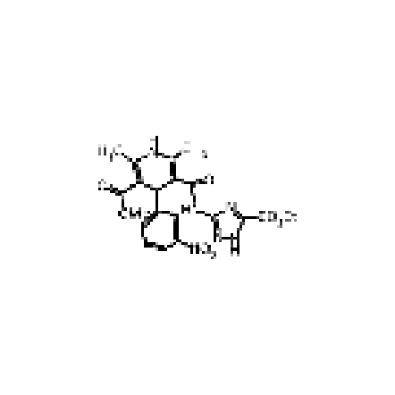 CCOC(=O)c1nc(NC(=O)C2=C(C)NC(C)=C(C(=O)OC)C2c2cccc([N+](=O)[O-])c2)n[nH]1